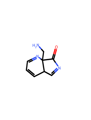 NCC12N=CC=CC1C=NC2=O